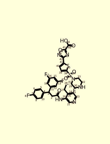 O=C(CC(c1ccc(F)cc1)c1cc(F)cc(F)c1)Nc1cncc(F)c1CC[C@H]1CNCCN1S(=O)(=O)c1ccc(-c2noc(C(=O)O)n2)s1